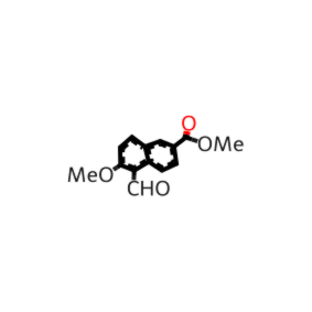 COC(=O)c1ccc2c(C=O)c(OC)ccc2c1